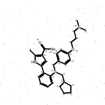 Cc1[nH]c(-c2ccccc2N(Cc2ccc(OCCCN(C)C)cc2)CC2CCCC2)cc1C(N)=O